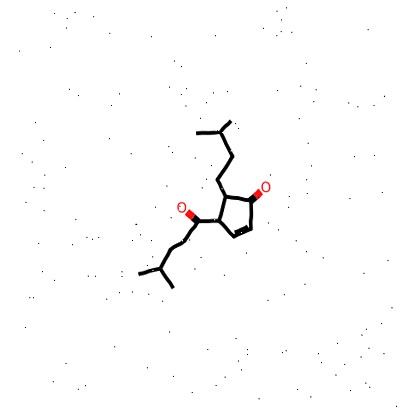 CC(C)CCC(=O)C1C=CC(=O)C1CCC(C)C